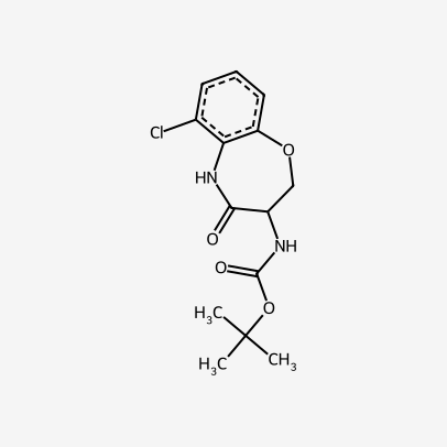 CC(C)(C)OC(=O)NC1COc2cccc(Cl)c2NC1=O